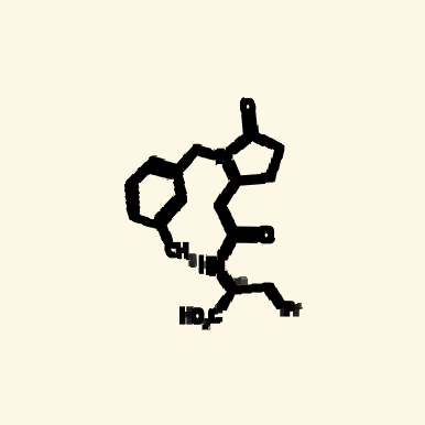 Cc1cccc(CN2C(=O)CCC2CC(=O)N[C@@H](CC(C)C)C(=O)O)c1